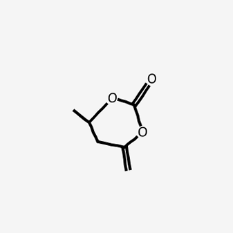 C=C1CC(C)OC(=O)O1